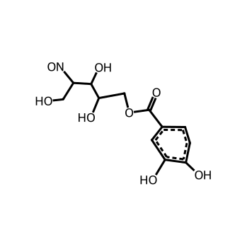 O=NC(CO)C(O)C(O)COC(=O)c1ccc(O)c(O)c1